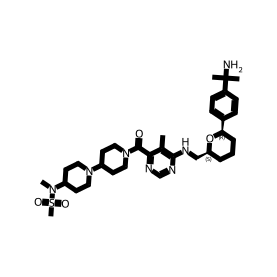 Cc1c(NC[C@@H]2CCC[C@H](c3ccc(C(C)(C)N)cc3)O2)ncnc1C(=O)N1CCC(N2CCC(N(C)S(C)(=O)=O)CC2)CC1